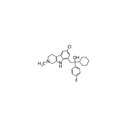 CN1CCc2c([nH]c3c(CC(O)(c4ccc(F)cc4)C4CCCCC4)cc(Cl)cc23)C1